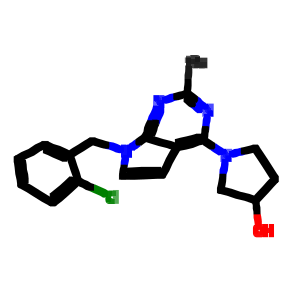 CC(C)(C)c1nc(N2CCC(O)C2)c2ccn(Cc3ccccc3Cl)c2n1